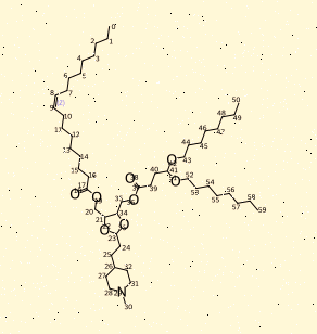 CCCCCCCC/C=C\CCCCCCCC(=O)OCC1OC(CCC2CCN(C)CC2)OC1COC(=O)CCC(OCCCCCCCC)OCCCCCCCC